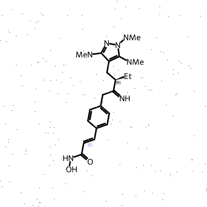 CC[C@H](Cc1c(NC)nn(NC)c1NC)C(=N)Cc1ccc(/C=C/C(=O)NO)cc1